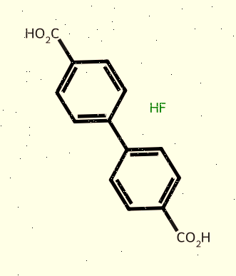 F.O=C(O)c1ccc(-c2ccc(C(=O)O)cc2)cc1